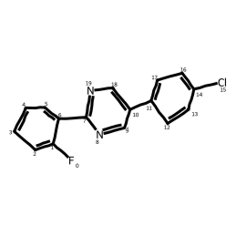 Fc1ccccc1-c1n[c]c(-c2ccc(Cl)cc2)cn1